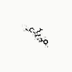 CC(C)=CCn1c(N2CCCC(NC(=O)OC(C)(C)C)C2)nc2c1c(=O)n(CC(=O)c1cc(N(C)C)ccc1Br)c(=O)n2C